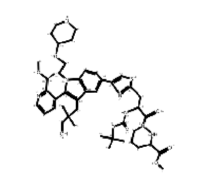 COC(=O)C1CCCN(C(=O)C(Cc2nc(-c3ccc4c(c3)c(CC(C)(C)CO)c(-c3cccnc3[C@H](C)OC)n4CCOC3CCOCC3)cs2)NC(=O)OC(C)(C)C)N1